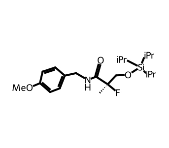 COc1ccc(CNC(=O)[C@](C)(F)CO[Si](C(C)C)(C(C)C)C(C)C)cc1